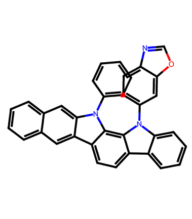 c1ccc(-n2c3cc4ccccc4cc3c3ccc4c5ccccc5n(-c5ccc6ncoc6c5)c4c32)cc1